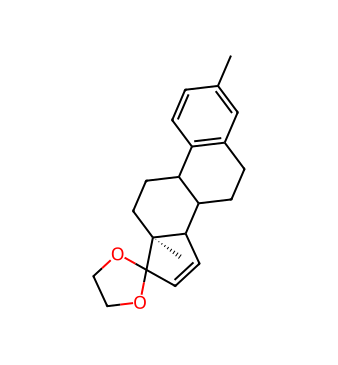 Cc1ccc2c(c1)CCC1C2CC[C@@]2(C)C1C=CC21OCCO1